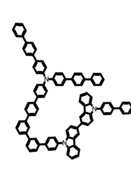 c1ccc(-c2ccc(-c3ccc(N(c4ccc(-c5ccc(-c6ccccc6)cc5)cc4)c4ccc(-c5ccc(-c6cccc(-c7cccc(-c8ccc(-n9c%10ccccc%10c%10cc(-c%11ccc%12c(c%11)c%11ccccc%11n%12-c%11ccc(-c%12ccccc%12)cc%11)ccc%109)cc8)c7)c6)cc5)cc4)cc3)cc2)cc1